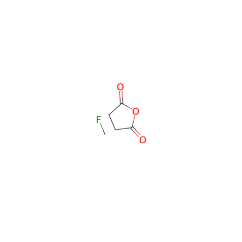 CF.O=C1CCC(=O)O1